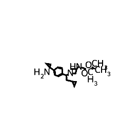 CC(C)(C)OC(=O)NC1CN(C(CC2CC2)c2ccc(C3(N)CC3)cc2)C1